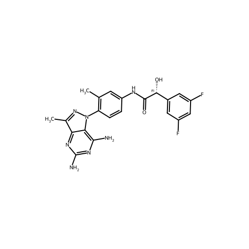 Cc1cc(NC(=O)[C@H](O)c2cc(F)cc(F)c2)ccc1-n1nc(C)c2nc(N)nc(N)c21